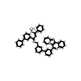 C=N/C(=C\C(=N/Cc1cccc(-c2cccc(-c3nc4ccccc4c4nc5ccccn5c34)c2)c1)c1cccc(-c2ccccc2)c1)c1ccccc1